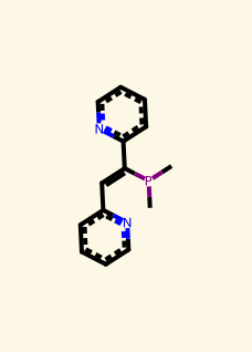 CP(C)C(=Cc1ccccn1)c1ccccn1